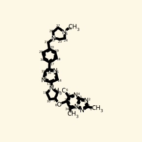 Cc1nc2nc(C)c(OC3CCN(c4cnc(-c5ccc(CN6CCN(C)CC6)cc5)cn4)C3)c(C)n2n1